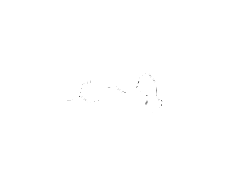 Fc1ccc(C=Nc2cccc3cocc23)cc1